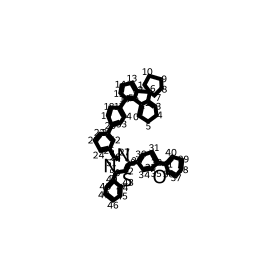 C1=C2C(=CCC1)C1(CCCCC1)c1cccc(-c3ccc(-c4cccc(-c5nc(-c6ccc7c(c6)oc6ccccc67)c6sc7ccccc7c6n5)c4)cc3)c12